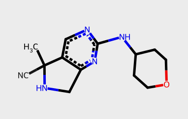 CC1(C#N)NCc2nc(NC3CCOCC3)ncc21